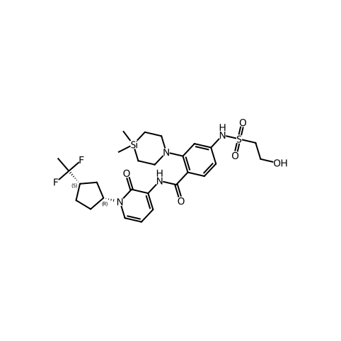 CC(F)(F)[C@H]1CC[C@@H](n2cccc(NC(=O)c3ccc(NS(=O)(=O)CCO)cc3N3CC[Si](C)(C)CC3)c2=O)C1